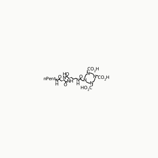 CCCCCNC(=O)C[C@H]1NC(=O)[C@@H](CCCNC(=O)CN2CCN(CC(=O)O)CCN(CC(=O)O)CCN(CC(=O)O)CC2)NC1=O